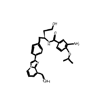 CC(C)Oc1ccc(C(=O)N[C@H](CCO)Cc2ccc(-c3cn4cccc(CO)c4n3)cc2)cc1N